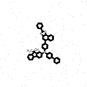 CC1(C)c2ccccc2-c2ccc(N(c3ccc(-c4ccccc4)cc3)c3ccc(-c4cc5nc(-c6ccccc6)oc5c5ccccc45)cc3)cc21